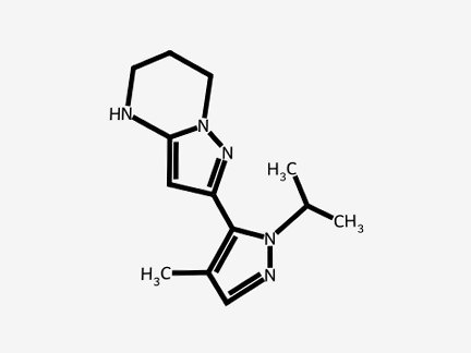 Cc1cnn(C(C)C)c1-c1cc2n(n1)CCCN2